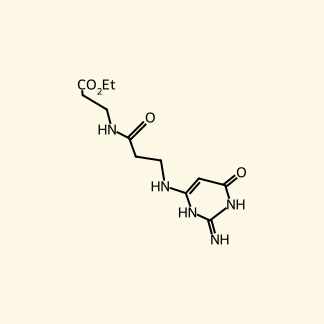 CCOC(=O)CCNC(=O)CCNc1cc(=O)[nH]c(=N)[nH]1